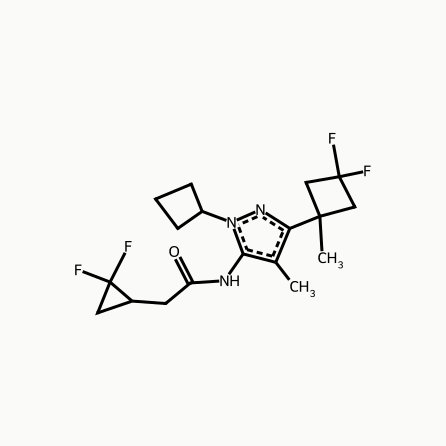 Cc1c(C2(C)CC(F)(F)C2)nn(C2CCC2)c1NC(=O)CC1CC1(F)F